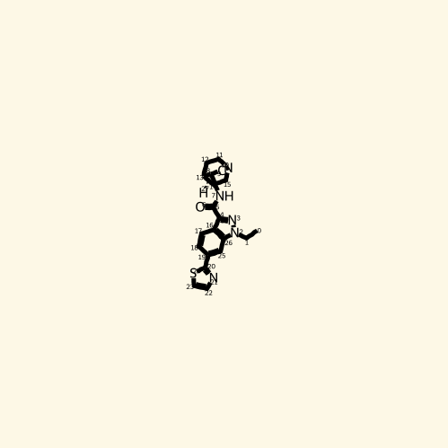 CCn1nc(C(=O)N[C@@H]2CN3CCC2CC3)c2ccc(-c3nccs3)cc21